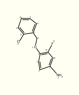 Nc1ccc(OCc2ccccc2Cl)c(F)c1